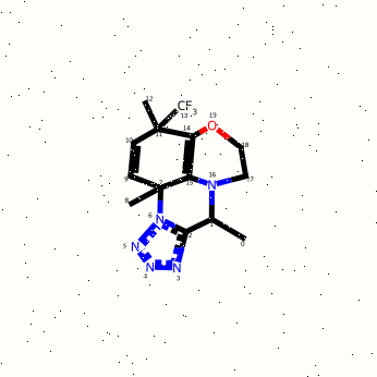 CC1c2nnnn2C2(C)C=CC(C)(C(F)(F)F)C3=C2N1CCO3